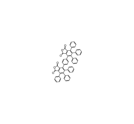 O=C1OC(=O)c2c1c(-c1ccccc1)c(-c1ccccc1)c(-c1ccccc1)c2-c1ccc(-c2c3c(c(-c4ccccc4)c(-c4ccccc4)c2-c2ccccc2)C(=O)OC3=O)cc1